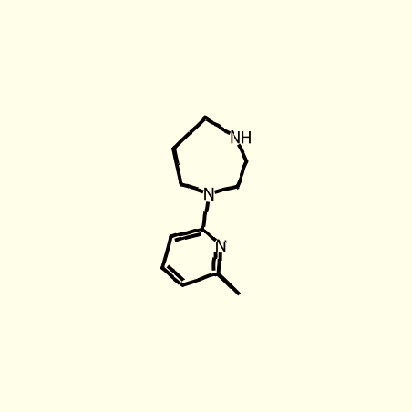 Cc1cccc(N2CCCNCC2)n1